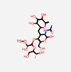 CC(=O)NC1C(O)OC(CO)C(OC(OC(CO)[C@@H](C)O)[C@@H](O)OS)C1CC1OC(C)C(O)C(O)C1O